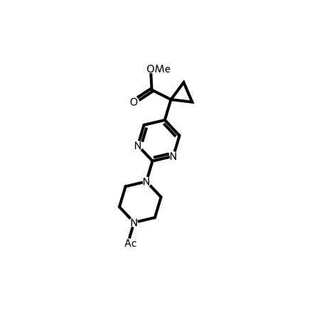 COC(=O)C1(c2cnc(N3CCN(C(C)=O)CC3)nc2)CC1